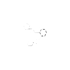 CCC1(OCc2cccc(O)c2COC2(CC)CCCC2)CCCC1